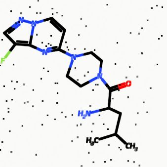 CC(C)CC(N)C(=O)N1CCN(c2ccn3ncc(F)c3n2)CC1